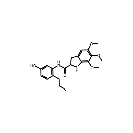 COc1cc2c(c(OC)c1OC)NC(C(=O)Nc1cc(O)ccc1CCCl)C2